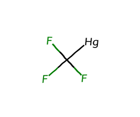 F[C](F)(F)[Hg]